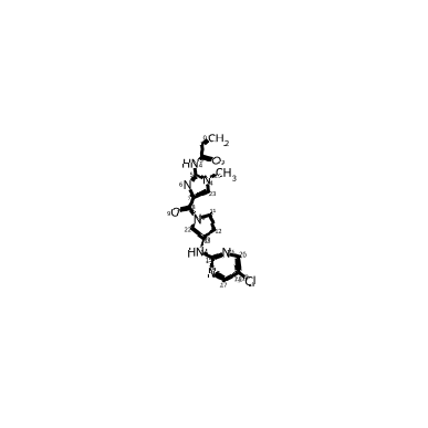 C=CC(=O)Nc1nc(C(=O)N2CC[C@@H](Nc3ncc(Cl)cn3)C2)cn1C